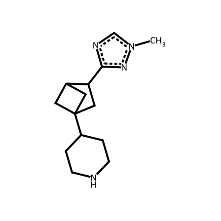 Cn1cnc(C2CC3(C4CCNCC4)CC2C3)n1